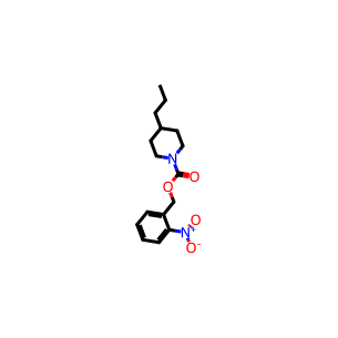 CCCC1CCN(C(=O)OCc2ccccc2[N+](=O)[O-])CC1